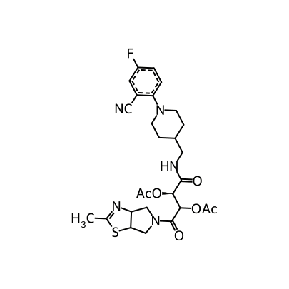 CC(=O)OC(C(=O)N1CC2N=C(C)SC2C1)[C@@H](OC(C)=O)C(=O)NCC1CCN(c2ccc(F)cc2C#N)CC1